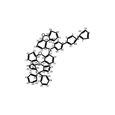 c1ccc(-c2ccc(-c3ccc(N(c4cccc5c4Oc4ccccc4[Si]54c5ccccc5[Si](c5ccccc5)(c5ccccc5)c5ccccc54)c4cccc5oc6ccccc6c45)cc3)cc2)cc1